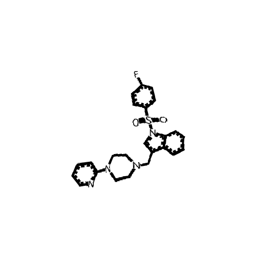 O=S(=O)(c1ccc(F)cc1)n1cc(CN2CCN(c3ccccn3)CC2)c2ccccc21